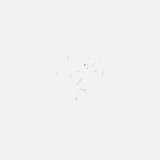 COC(=O)c1cc(C)cc(-n2c(C)ccc2C)c1